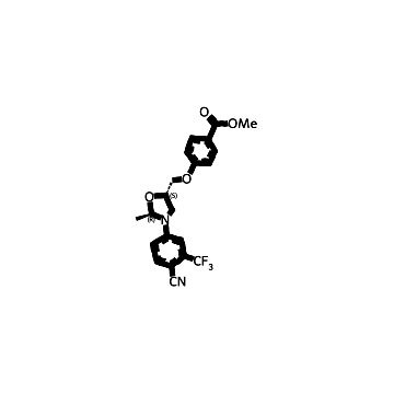 COC(=O)c1ccc(OC[C@@H]2CN(c3ccc(C#N)c(C(F)(F)F)c3)[C@@H](C)O2)cc1